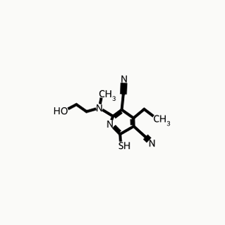 CCc1c(C#N)c(S)nc(N(C)CCO)c1C#N